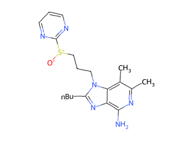 CCCCc1nc2c(N)nc(C)c(C)c2n1CCC[S+]([O-])c1ncccn1